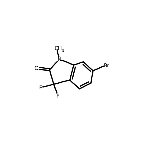 CN1C(=O)C(F)(F)c2ccc(Br)cc21